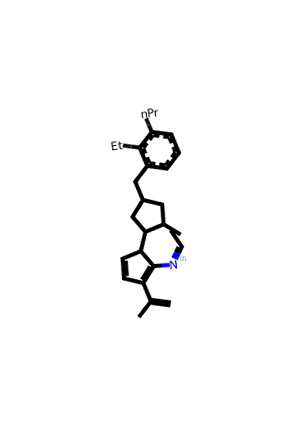 C=C(C)C1=C(/N=C\C)C(C2CC(Cc3cccc(CCC)c3CC)CC2C)C=C1